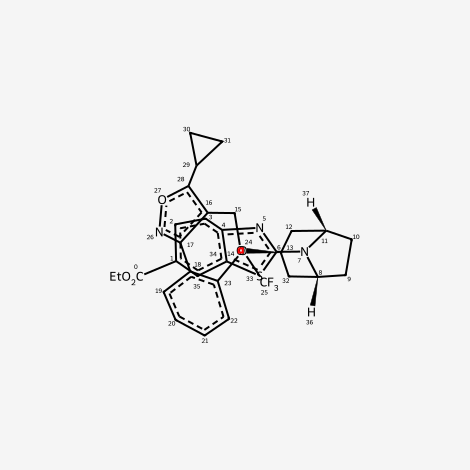 CCOC(=O)c1ccc2nc(N3[C@@H]4CC[C@H]3C[C@H](OCc3c(-c5ccccc5OC(F)(F)F)noc3C3CC3)C4)sc2c1